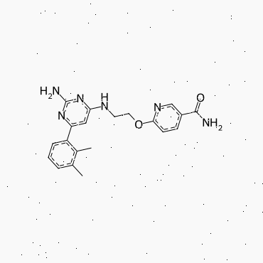 Cc1cccc(-c2cc(NCCOc3ccc(C(N)=O)cn3)nc(N)n2)c1C